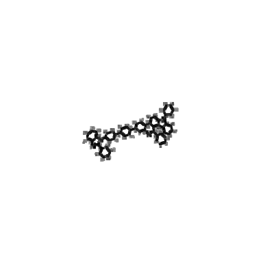 c1ccc(-c2nc3cc(-c4ccc(-c5ccc(-n6c(-c7ccccc7)nc7ccccc76)cc5)cc4)ccc3c3ccc4c(c5ccccc5n4-c4ccccc4)c23)cc1